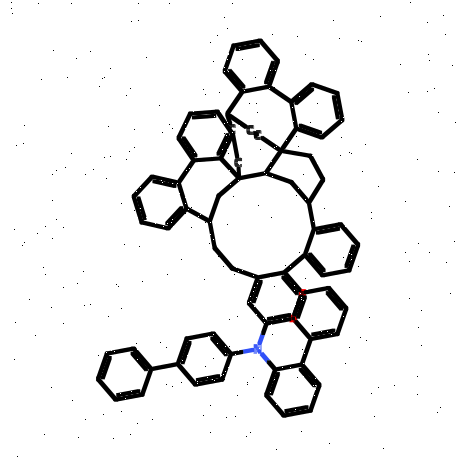 c1ccc(-c2ccc(N(c3ccc4c(c3)CCC3CC5(CCC6CCC7(CCC(CC75)c5ccccc5-4)c4ccccc4-c4ccccc46)c4ccccc4-c4ccccc43)c3ccccc3-c3ccccc3)cc2)cc1